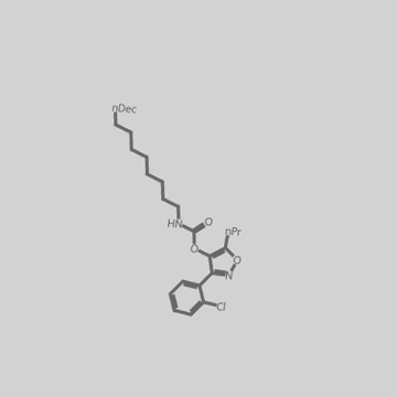 CCCCCCCCCCCCCCCCCCNC(=O)Oc1c(-c2ccccc2Cl)noc1CCC